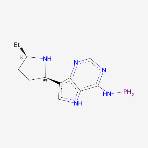 CC[C@@H]1CC[C@H](c2c[nH]c3c(NP)ncnc23)N1